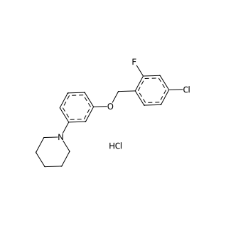 Cl.Fc1cc(Cl)ccc1COc1cccc(N2CCCCC2)c1